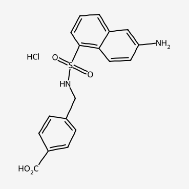 Cl.Nc1ccc2c(S(=O)(=O)NCc3ccc(C(=O)O)cc3)cccc2c1